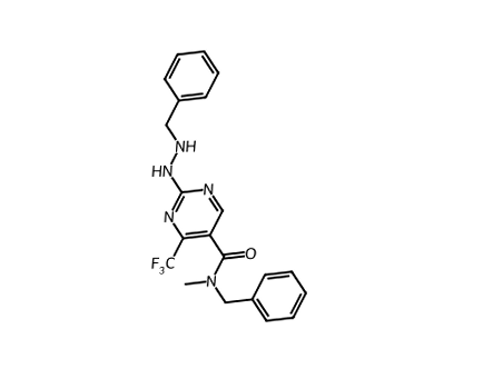 CN(Cc1ccccc1)C(=O)c1cnc(NNCc2ccccc2)nc1C(F)(F)F